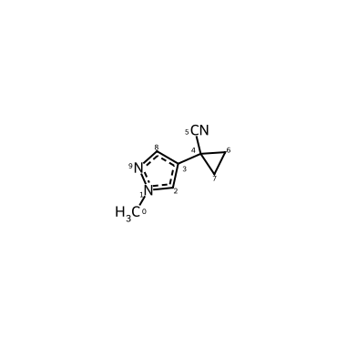 Cn1cc(C2(C#N)CC2)cn1